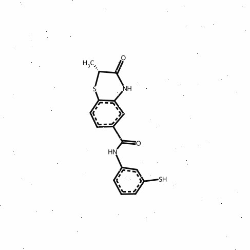 C[C@H]1Sc2ccc(C(=O)Nc3cccc(S)c3)cc2NC1=O